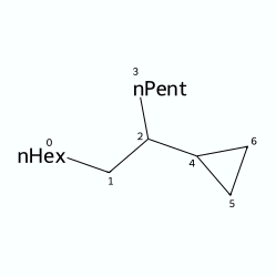 [CH2]CCCCCCC(CCCCC)C1CC1